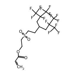 C=CC(=O)OCCS(=O)(=O)CCC(CC(F)(C(F)(F)F)C(F)(F)F)CC(F)(C(F)(F)F)C(F)(F)F